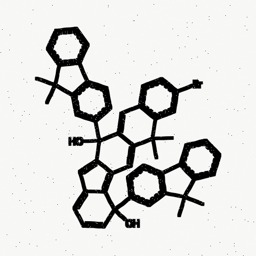 CC1(C)C2=CC3=C4C(=CC=CC4(O)c4ccc5c(c4)C(C)(C)c4ccccc4-5)C=C3C(O)(c3ccc4c(c3)C(C)(C)c3ccccc3-4)C2=Cc2ccc(Br)cc21